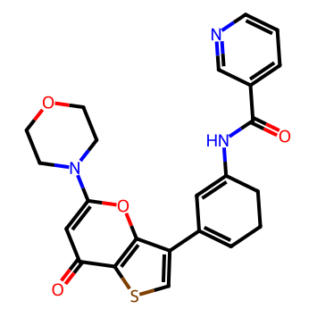 O=C(NC1=CC(c2csc3c(=O)cc(N4CCOCC4)oc23)=CCC1)c1cccnc1